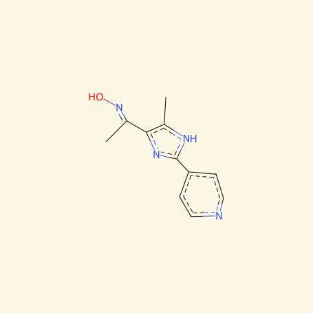 C/C(=N\O)c1nc(-c2ccncc2)[nH]c1C